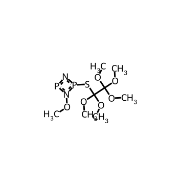 COn1pnp1SC(OC)(OC)C(OC)(OC)OC